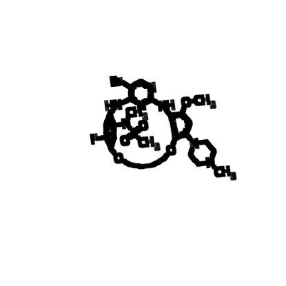 COc1cc(N2CCN(C)CC2)c2cc1Nc1ncc(Br)c(n1)Nc1cc(F)c(cc1N(C)S(C)(=O)=O)OCCCCO2